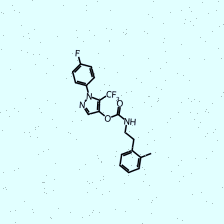 Cc1ccccc1CCNC(=O)Oc1cnn(-c2ccc(F)cc2)c1C(F)(F)F